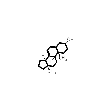 C[C@@]12CCC[C@H]1C1=CC=C3C[C@H](O)CC[C@]3(C)[C@H]1CC2